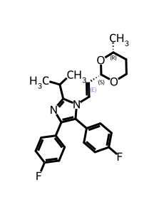 CC(C)c1nc(-c2ccc(F)cc2)c(-c2ccc(F)cc2)n1/C=C/[C@H]1OCC[C@@H](C)O1